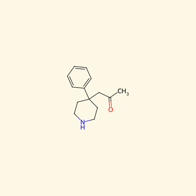 CC(=O)CC1(c2ccccc2)CCNCC1